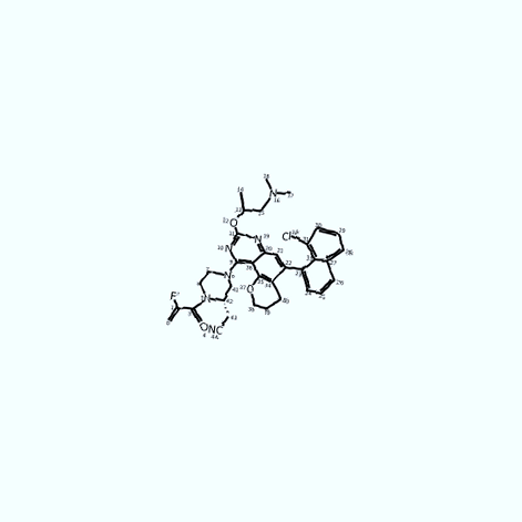 C=C(F)C(=O)N1CCN(c2nc(OC(C)CN(C)C)nc3cc(-c4cccc5cccc(Cl)c45)c4c(c23)OCCC4)C[C@@H]1CC#N